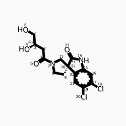 O=C(C[C@@H](O)CO)N1CC[C@]2(C1)C(=O)Nc1cc(Cl)c(Cl)cc12